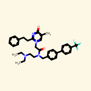 CCN(CC)CCN(Cc1ccc(-c2ccc(C(F)(F)F)cc2)cc1)C(=O)Cn1cc(C)c(=O)nc1CCc1ccccc1